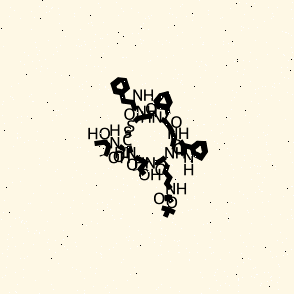 CC(O)C(NC(=O)[C@@H]1CSSC[C@H](NC(=O)[C@H](N)Cc2ccccc2)C(=O)N[C@@H](Cc2ccccc2)C(=O)N[C@H](Cc2c[nH]c3ccccc23)C(=O)N[C@@H](CCCCNC(=O)OC(C)(C)C)C(=O)N[C@@H]([C@@H](C)O)C(=O)N1)[C@@H](C)O